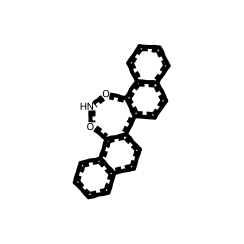 c1ccc2c(c1)ccc1c3ccc4ccccc4c3o[nH]oc21